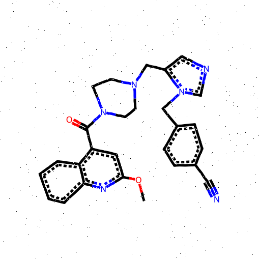 COc1cc(C(=O)N2CCN(Cc3cncn3Cc3ccc(C#N)cc3)CC2)c2ccccc2n1